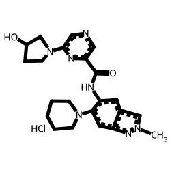 Cl.Cn1cc2cc(NC(=O)c3cncc(N4CCC(O)C4)n3)c(N3CCCCC3)cc2n1